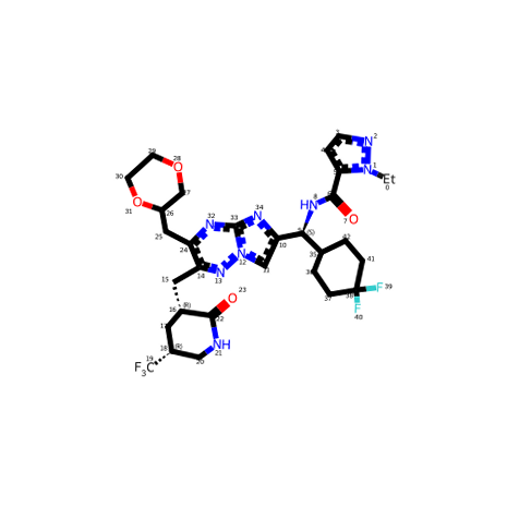 CCn1nccc1C(=O)N[C@H](c1cn2nc(C[C@H]3C[C@@H](C(F)(F)F)CNC3=O)c(CC3COCCO3)nc2n1)C1CCC(F)(F)CC1